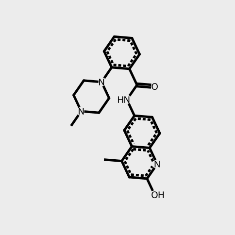 Cc1cc(O)nc2ccc(NC(=O)c3ccccc3N3CCN(C)CC3)cc12